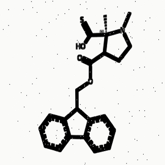 CN1CCC(C(=O)OCC2c3ccccc3-c3ccccc32)[C@@]1(C)C(O)=S